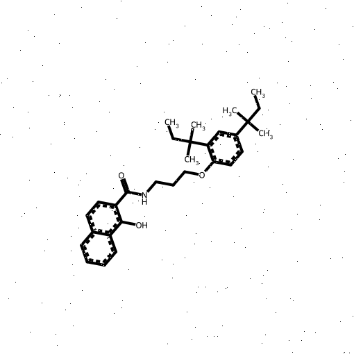 CCC(C)(C)c1ccc(OCCCNC(=O)c2ccc3ccccc3c2O)c(C(C)(C)CC)c1